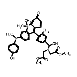 COC(=O)CN(CC(=O)OC)C(O)c1ccc(C2=C3C=CC(=O)C=C3[Si](C)(C)c3cc(N(C)c4ccc(O)cc4)ccc32)c(C)c1